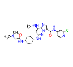 CN(C)CC(=O)N[C@H]1CC[C@H](Nc2cc(NC3CC3)c3ncc(C(=O)Nc4ccnc(Cl)c4)n3n2)CC1